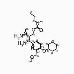 CCCN(C)C(=O)OC/C(=C(/N)c1ccc(OC2CCCCC2)c(COC)n1)N(C)N